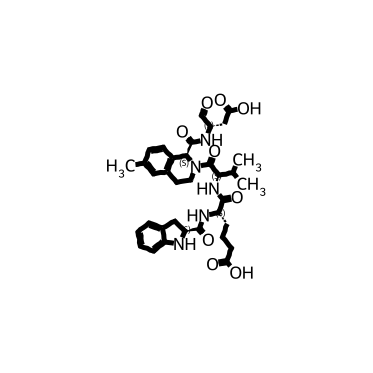 Cc1ccc2c(c1)CCN(C(=O)[C@@H](NC(=O)[C@H](CCCC(=O)O)NC(=O)[C@@H]1Cc3ccccc3N1)C(C)C)[C@@H]2C(=O)N[C@H](C=O)CC(=O)O